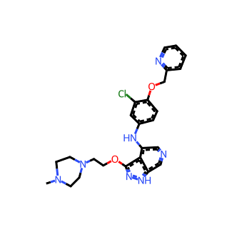 CN1CCN(CCOc2n[nH]c3cncc(Nc4ccc(OCc5ccccn5)c(Cl)c4)c23)CC1